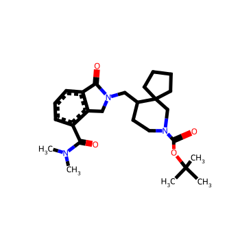 CN(C)C(=O)c1cccc2c1CN(CC1CCN(C(=O)OC(C)(C)C)CC13CCCC3)C2=O